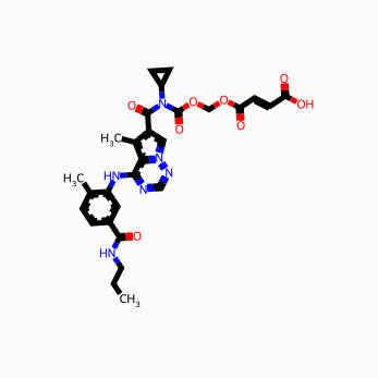 CCCNC(=O)c1ccc(C)c(Nc2ncnn3cc(C(=O)N(C(=O)OCOC(=O)/C=C/C(=O)O)C4CC4)c(C)c23)c1